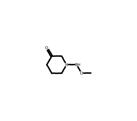 COBN1CCCC(=O)C1